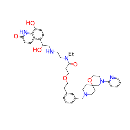 CCN(CCNCC(O)c1ccc(O)c2[nH]c(=O)ccc12)C(=O)CCOCCc1cccc(CN2CCC3(CC2)CN(c2ccccn2)CCO3)c1